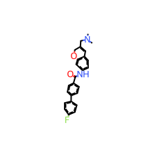 CN(C)CC1=Cc2ccc(NC(=O)c3ccc(-c4ccc(F)cc4)cc3)cc2OC1